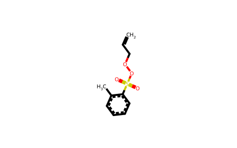 C=CCOOS(=O)(=O)c1ccccc1C